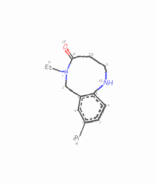 CCN1Cc2cc(C(C)C)ccc2NCCC1=O